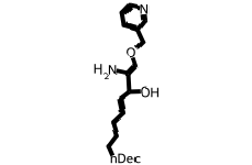 CCCCCCCCCCCCCC=CC(O)C(N)COCc1cccnc1